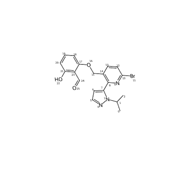 CC(C)n1nccc1-c1nc(Br)ccc1COc1cccc(O)c1C=O